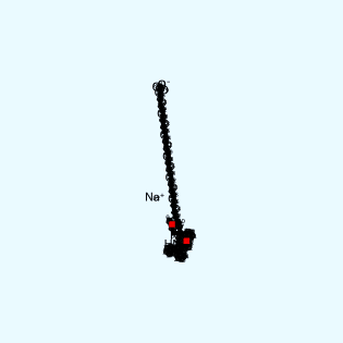 CCOCc1nc2c(NC(c3ccccc3)(c3ccccc3)c3ccccc3)nc3ccccc3c2n1CC(C)(C)OCCOCCOCCOCCOCCOCCOCCOCCOCCOCCOCCOCCOS(=O)(=O)[O-].[Na+]